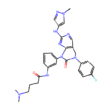 CN(C)CCCC(=O)Nc1cccc(N2C(=O)N(c3ccc(F)cc3)Cc3cnc(Nc4cnn(C)c4)nc32)c1